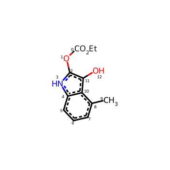 CCOC(=O)Oc1[nH]c2cccc(C)c2c1O